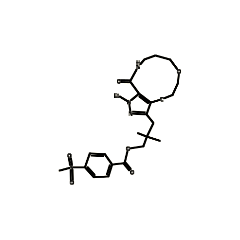 CCn1nc(CC(C)(C)COC(=O)c2ccc(S(C)(=O)=O)cc2)c2c1C(=O)NCCCOCCC2